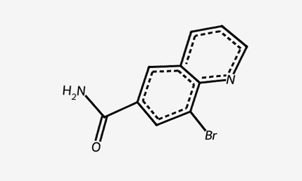 NC(=O)c1cc(Br)c2ncccc2c1